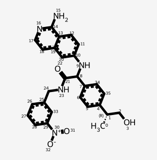 C[C@@H](CO)c1ccc(C(Nc2ccc3c(N)nccc3c2)C(=O)NCc2cccc([N+](=O)[O-])c2)cc1